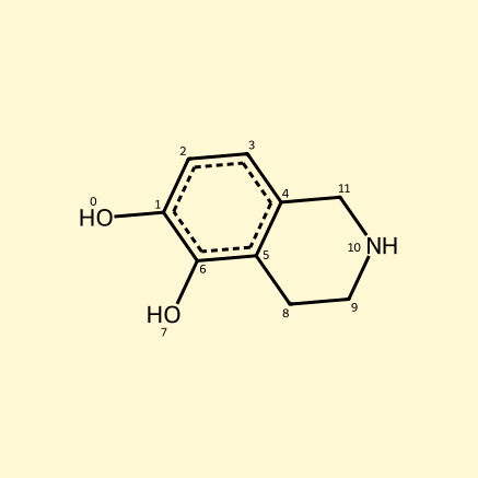 Oc1ccc2c(c1O)CCNC2